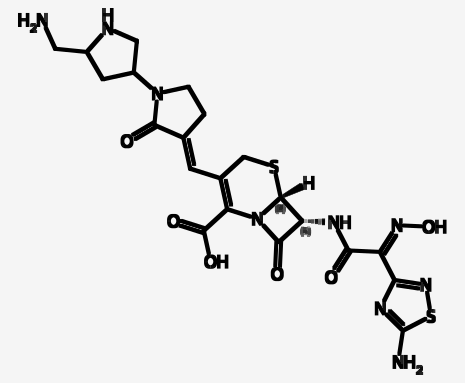 NCC1CC(N2CCC(=CC3=C(C(=O)O)N4C(=O)[C@@H](NC(=O)C(=NO)c5nsc(N)n5)[C@H]4SC3)C2=O)CN1